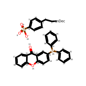 CCCCCCCCCCCCc1ccc(S(=O)(=O)[O-])cc1.O=c1c2ccccc2oc2ccc([S+](c3ccccc3)c3ccccc3)cc12